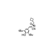 CC(C)(C)c1cc(/C=C(\C#N)S(=O)(=O)CC2CCC2)cc(C(C)(C)C)c1O